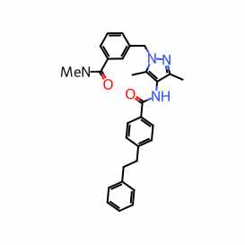 CNC(=O)c1cccc(Cn2nc(C)c(NC(=O)c3ccc(CCc4ccccc4)cc3)c2C)c1